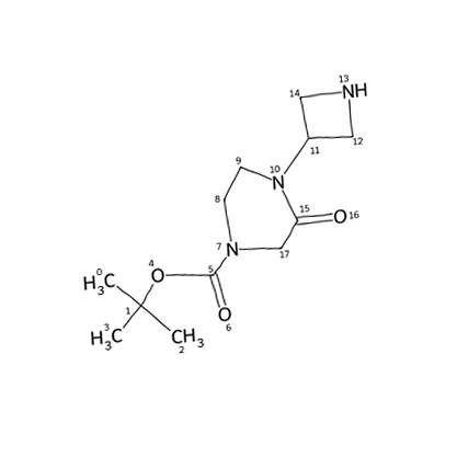 CC(C)(C)OC(=O)N1CCN(C2CNC2)C(=O)C1